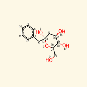 OC[C@H]1O[C@@](O)(Cc2ccccc2)C[C@@H](O)[C@@H]1O